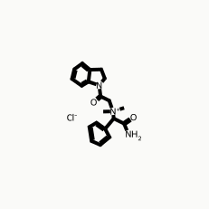 C[N+](C)(CC(=O)N1CCc2ccccc21)C(C(N)=O)c1ccccc1.[Cl-]